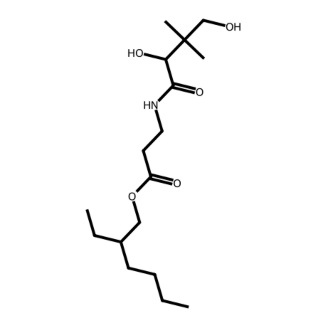 CCCCC(CC)COC(=O)CCNC(=O)C(O)C(C)(C)CO